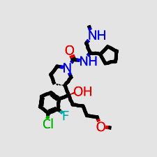 CNCC(NC(=O)N1CCC[C@@H]([C@@](O)(CCCCOC)c2cccc(Cl)c2F)C1)C1CCCC1